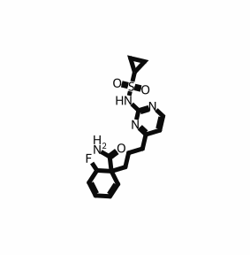 NC(=O)C1(CCCc2ccnc(NS(=O)(=O)C3CC3)n2)C=CC=CC1F